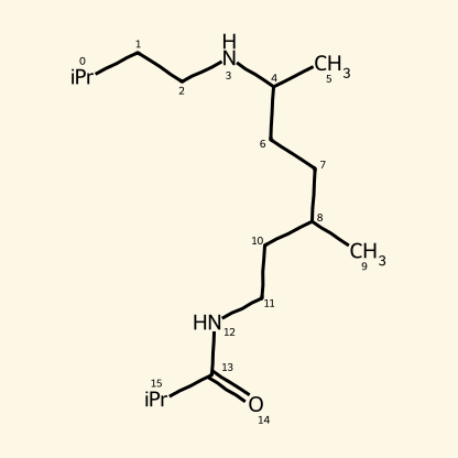 CC(C)CCNC(C)CCC(C)CCNC(=O)C(C)C